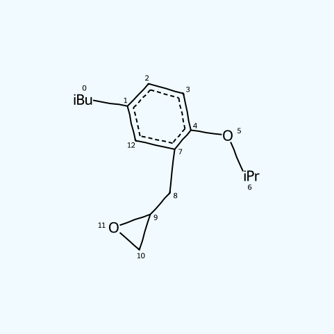 CCC(C)c1ccc(OC(C)C)c(CC2CO2)c1